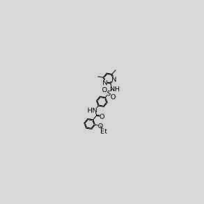 CCOc1ccccc1C(=O)Nc1ccc(S(=O)(=O)Nc2nc(C)cc(C)n2)cc1